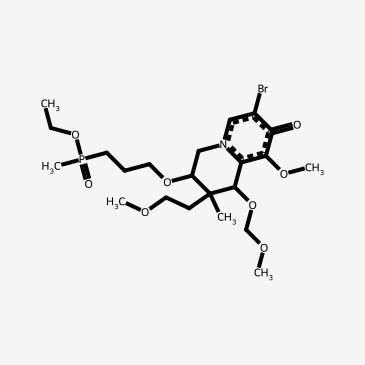 CCOP(C)(=O)CCCOC1Cn2cc(Br)c(=O)c(OC)c2C(OCOC)C1(C)CCOC